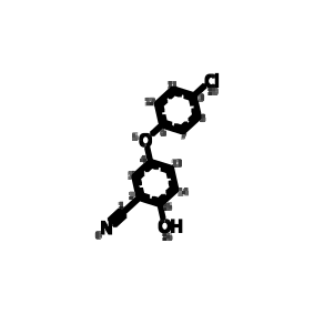 N#Cc1[c]c(Oc2ccc(Cl)cc2)ccc1O